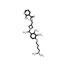 Cc1ncccc1C(=O)NCC1CN(C(C)c2ccc(OCCCCN(C)C)c(C)c2C)C1